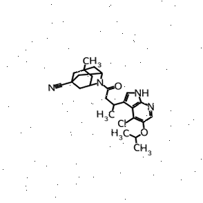 CC(C)Oc1cnc2[nH]cc(C(C)CC(=O)N3C4CC5(C)CC3CC(C#N)(C4)C5)c2c1Cl